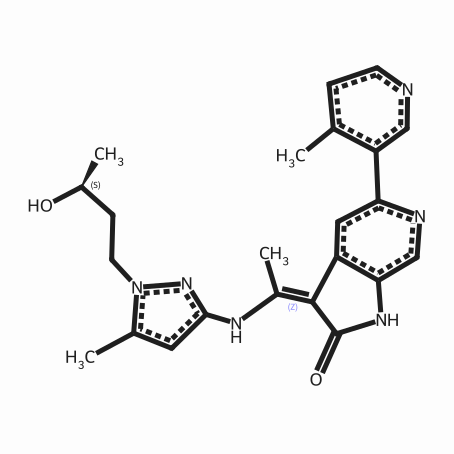 C/C(Nc1cc(C)n(CC[C@H](C)O)n1)=C1/C(=O)Nc2cnc(-c3cnccc3C)cc21